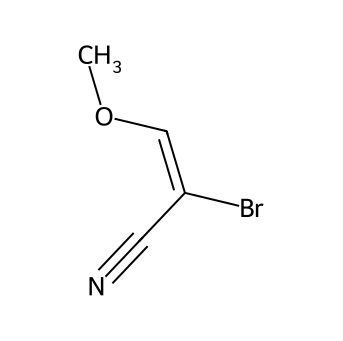 CO/C=C(/Br)C#N